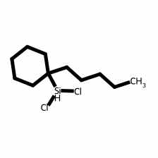 CCCCCC1([SiH](Cl)Cl)CCCCC1